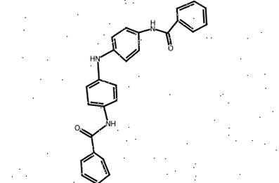 O=C(Nc1ccc(Nc2ccc(NC(=O)c3ccccc3)cc2)cc1)c1ccccc1